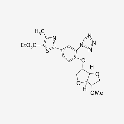 CCOC(=O)c1sc(-c2ccc(O[C@H]3CO[C@H]4[C@@H]3OC[C@@H]4OC)c(-n3cnnn3)c2)nc1C